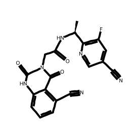 C[C@H](NC(=O)Cn1c(=O)[nH]c2cccc(C#N)c2c1=O)c1ncc(C#N)cc1F